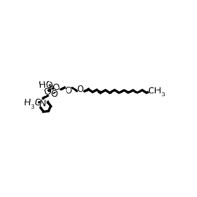 CCCCCCCCCCCCCCCCOCCOCCOP(=O)(O)OCC[N+]1(C)CCCCC1